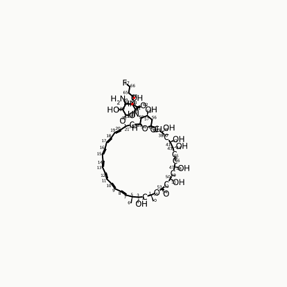 C[C@H]1C[C@H](O)[C@@H](C)/C=C/C=C/C=C/C=C/C=C/C=C/C=C/[C@H](O[C@@H]2OC[C@@H](O)[C@H](N)[C@@H]2O)C[C@@H]2O[C@](O)(C[C@@H](O)C[C@@H](O)[C@H](O)CC[C@@H](O)C[C@@H](O)CC(=O)O1)C[C@H](O)[C@H]2NC(=O)NCCCF